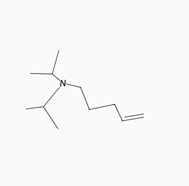 C=CCCCN(C(C)C)C(C)C